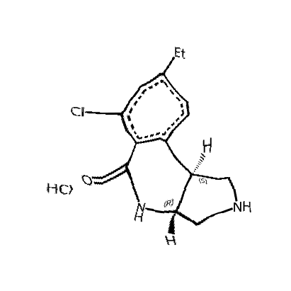 CCc1cc(Cl)c2c(c1)[C@H]1CNC[C@@H]1NC2=O.Cl